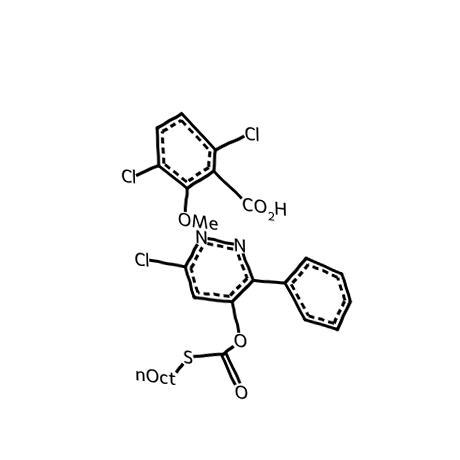 CCCCCCCCSC(=O)Oc1cc(Cl)nnc1-c1ccccc1.COc1c(Cl)ccc(Cl)c1C(=O)O